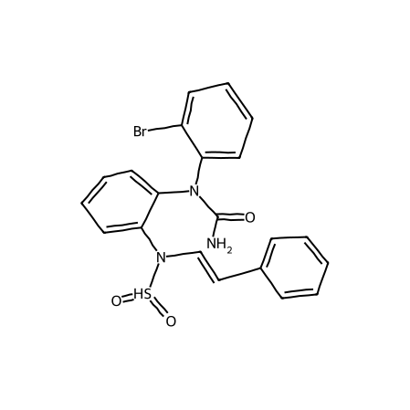 NC(=O)N(c1ccccc1Br)c1ccccc1N(C=Cc1ccccc1)[SH](=O)=O